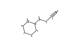 N#CCSC1CCCCO1